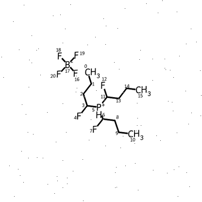 CCCC(F)[PH+](C(F)CCC)C(F)CCC.F[B-](F)(F)F